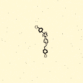 COc1ccc(CCN2CCN(c3nc(-c4ccc(Cl)cc4)ns3)CC2)cc1